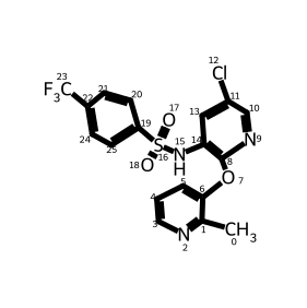 Cc1ncccc1Oc1ncc(Cl)cc1NS(=O)(=O)c1ccc(C(F)(F)F)cc1